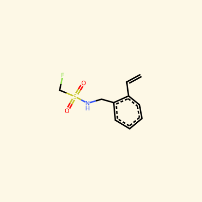 C=Cc1ccccc1CNS(=O)(=O)CF